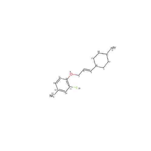 CCCC1CCC(/C=C/COc2ccc(C#N)cc2F)CC1